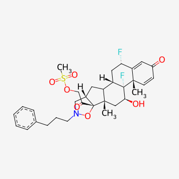 C[C@]12C=CC(=O)C=C1[C@@H](F)C[C@H]1C3C[C@H]4CN(CCCc5ccccc5)O[C@@]4(C(=O)COS(C)(=O)=O)[C@@]3(C)C[C@H](O)[C@@]12F